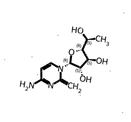 C=C1N=C(N)C=CN1[C@@H]1O[C@H]([C@H](C)O)[C@@H](O)[C@@H]1O